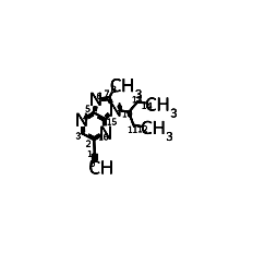 C#Cc1cnc2nc(C)n(C(CC)CC)c2n1